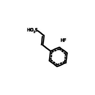 F.O=S(=O)(O)C=Cc1ccccc1